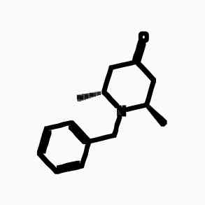 C[C@@H]1CC(=O)C[C@@H](C)N1Cc1ccccc1